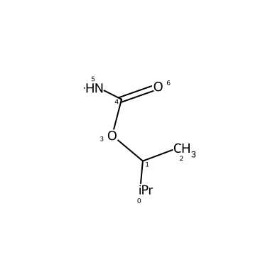 CC(C)C(C)OC([NH])=O